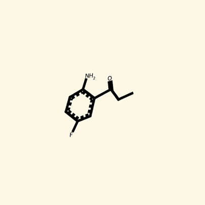 CCC(=O)c1cc(F)ccc1N